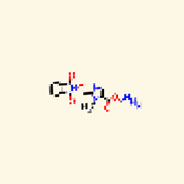 Cn1c(C(=O)OCN=[N+]=[N-])cnc1CON1C(=O)c2ccccc2C1=O